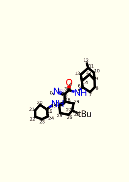 C/N=C(/C(=O)NC1CCC2CC(C)CC1C2)C1=C(NC2CCCCC2)CCC(C(C)(C)C)C1